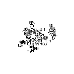 CC(C)C[C@H](NC(=O)[C@@H](COC(C)(C)C)NC(=O)[C@H](Cc1ccc(O)cc1)NC(=O)[C@H](CO)NC(=O)[C@H](Cc1c[nH]c2ccccc12)NC(=O)[C@H](Cc1c[nH]cn1)NC(=O)[C@@H]1CCC(=O)N1)C(=O)N[C@@H](CCCNC(=N)N)C(=O)N1CCC[C@H]1C(=O)NNC(N)=O.C[C@@H](CN1CC(=O)NC(=O)C1)N1CC(=O)NC(=O)C1